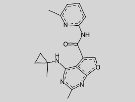 Cc1cccc(NC(=O)c2coc3nc(C)nc(NC4(C)CC4)c23)n1